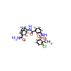 Cc1c(Cl)cccc1S(=O)(=O)Nc1cccc(C(=O)NC2C3CC4CC2CC(C(N)=O)(C4)C3)c1